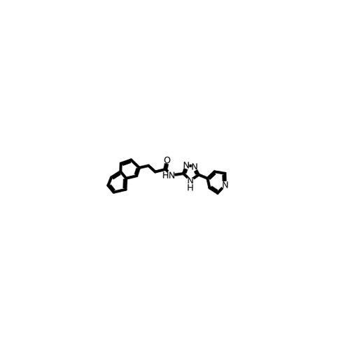 O=C(CCc1ccc2ccccc2c1)Nc1nnc(-c2ccncc2)[nH]1